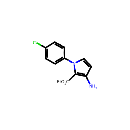 CCOC(=O)c1c(N)ccn1-c1ccc(Cl)cc1